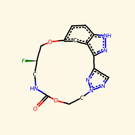 O=C1NC[C@@H](F)COc2ccc3[nH]nc(c3c2)-c2cnn(n2)CCO1